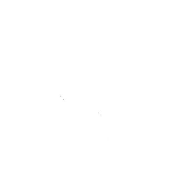 c1ccc(-n2c3ccc4c5ccccc5oc4c3c3c4c(ccc32)[nH]c2ccccc24)cc1